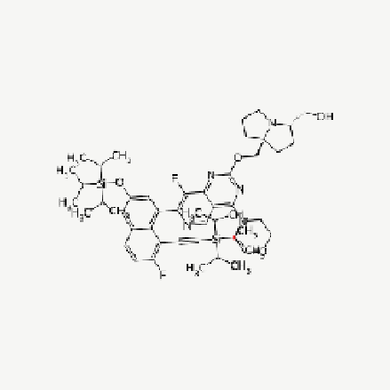 CC(C)[Si](C#Cc1c(F)ccc2cc(O[Si](C(C)C)(C(C)C)C(C)C)cc(-c3ncc4c(N5CCOCC5)nc(OC[C@@]56CCCN5[C@H](CO)CC6)nc4c3F)c12)(C(C)C)C(C)C